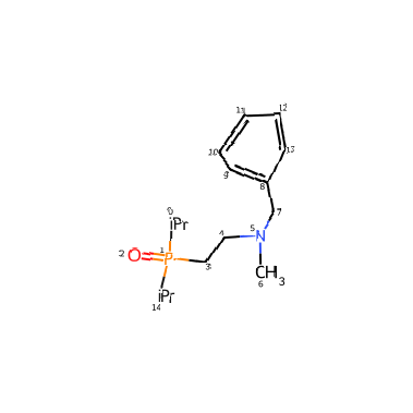 CC(C)P(=O)(CCN(C)Cc1ccccc1)C(C)C